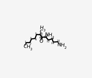 CCCCCCC(C)C(=O)[C@H](N)CCCCN